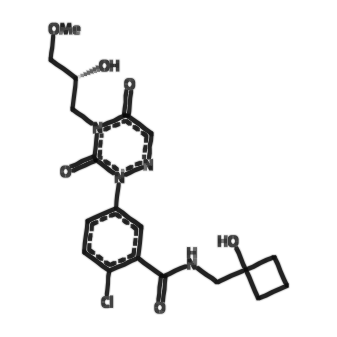 COC[C@H](O)Cn1c(=O)cnn(-c2ccc(Cl)c(C(=O)NCC3(O)CCC3)c2)c1=O